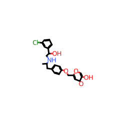 CC(Cc1ccc(OCc2cc(=O)c(O)co2)cc1)NCC(O)c1cccc(Cl)c1